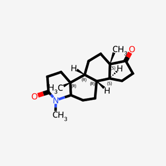 CN1C(=O)CC[C@@]2(C)C1CC[C@@H]1[C@H]2CC[C@]2(C)C(=O)CC[C@@H]12